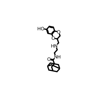 O=C(NCCNCC1COc2ccc(O)cc2O1)C12CC3CC(CC(C3)C1)C2